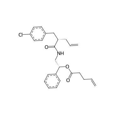 C=CCCC(=O)O[C@@H](CNC(=O)[C@@H](CC=C)Cc1ccc(Cl)cc1)c1ccccc1